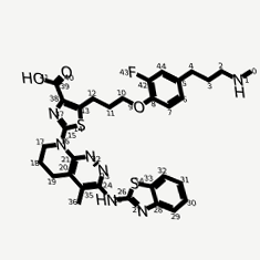 CNCCCc1ccc(OCCCc2sc(N3CCCc4c3nnc(Nc3nc5ccccc5s3)c4C)nc2C(=O)O)c(F)c1